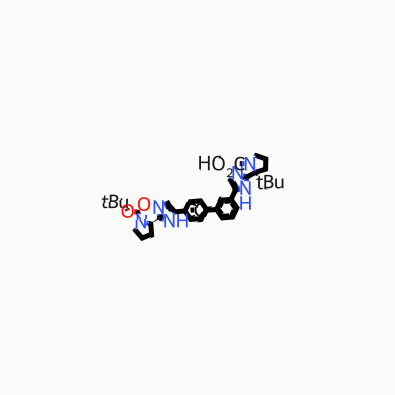 CC(C)(C)OC(=O)N1CCC[C@H]1c1ncc(C23CCC(c4cccc(-c5cnc([C@@]6(C(C)(C)C)CCCN6C(=O)O)[nH]5)c4)(CC2)CC3)[nH]1